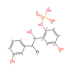 CCC(c1cccc(O)c1)C(O)c1cc(O)ccc1OP(=O)(O)O